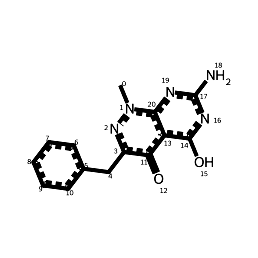 Cn1nc(Cc2ccccc2)c(=O)c2c(O)nc(N)nc21